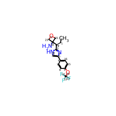 CC[C@@H](c1nc(-c2ccc(OC(F)(F)F)cc2)c[nH]1)C1(N)COC1